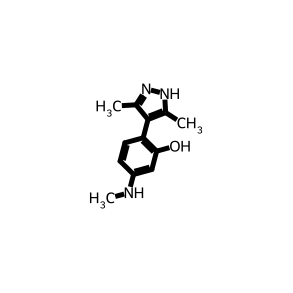 CNc1ccc(-c2c(C)n[nH]c2C)c(O)c1